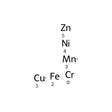 [Cr].[Cu].[Fe].[Mn].[Ni].[Zn]